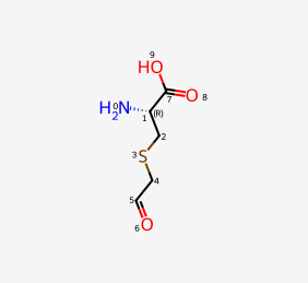 N[C@@H](CSCC=O)C(=O)O